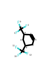 FC(F)(F)C1C#CCC(C(F)(F)F)C1